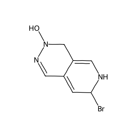 ON1CC2=CNC(Br)C=C2C=N1